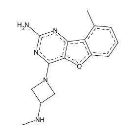 CNC1CN(c2nc(N)nc3c2oc2cccc(C)c23)C1